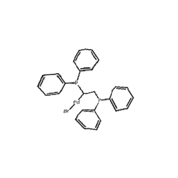 [Br][Pd][CH](CP(c1ccccc1)c1ccccc1)P(c1ccccc1)c1ccccc1